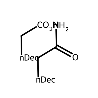 CCCCCCCCCCCC(=O)O.CCCCCCCCCCCC(N)=O